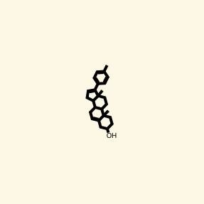 Cc1ccc(C2=CCC3C4CC=C5CC(O)CCC5(C)C4CCC23C)cc1